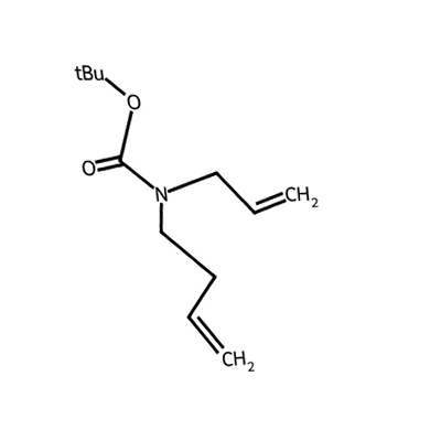 C=CCCN(CC=C)C(=O)OC(C)(C)C